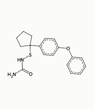 NC(=O)NSC1(c2ccc(Oc3ccccc3)cc2)CCCC1